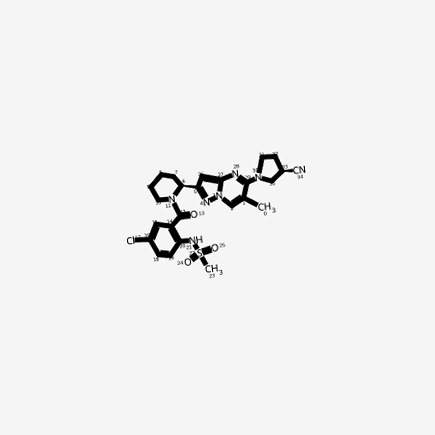 Cc1cn2nc([C@@H]3CCCCN3C(=O)c3cc(Cl)ccc3NS(C)(=O)=O)cc2nc1N1CC[C@@H](C#N)C1